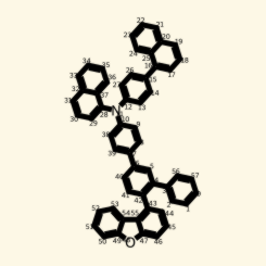 c1ccc(-c2cc(-c3ccc(N(c4ccc(-c5cccc6ccccc56)cc4)c4cccc5ccccc45)cc3)ccc2-c2cccc3oc4ccccc4c23)cc1